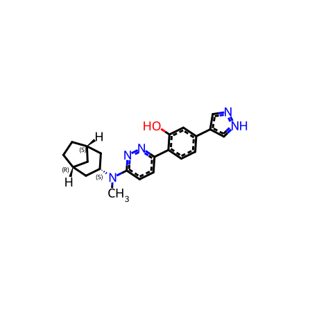 CN(c1ccc(-c2ccc(-c3cn[nH]c3)cc2O)nn1)[C@@H]1C[C@@H]2CC[C@@H](C2)C1